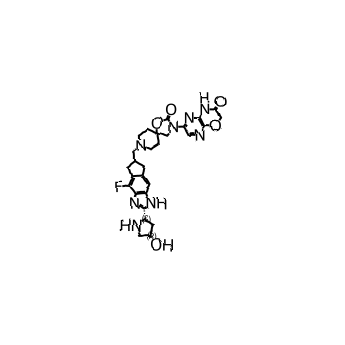 O=C1COc2ncc(N3CC4(CCN(CC5Cc6cc7[nH]c([C@@H]8C[C@@H](O)CN8)nc7c(F)c6C5)CC4)OC3=O)nc2N1